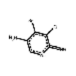 N=c1[nH]cc(N)c(Br)c1Cl